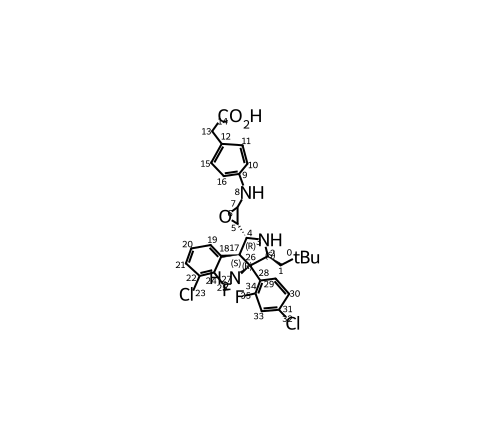 CC(C)(C)C[C@@H]1N[C@@H](C2OC2Nc2ccc(CC(=O)O)cc2)[C@H](c2cccc(Cl)c2F)[C@@]1(N)c1ccc(Cl)cc1F